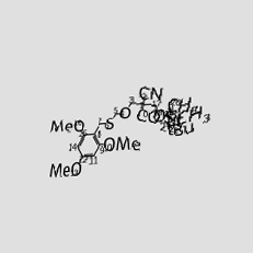 CCOC(=O)C(C#N)(COCSCc1c(OC)cc(OC)cc1OC)CO[Si](C)(C)C(C)(C)C